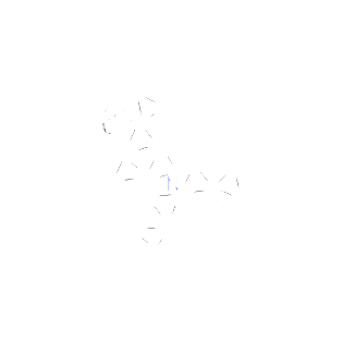 c1ccc(-c2ccc(N(c3ccc(-c4ccc5c(c4)-c4ccccc4C54C5CC6CC7CC4C5(C6)C7)c(-c4ccccc4)c3)c3ccc4c(c3)sc3ccccc34)cc2)cc1